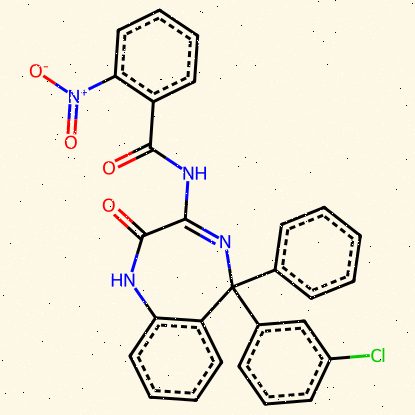 O=C1Nc2ccccc2C(c2ccccc2)(c2cccc(Cl)c2)N=C1NC(=O)c1ccccc1[N+](=O)[O-]